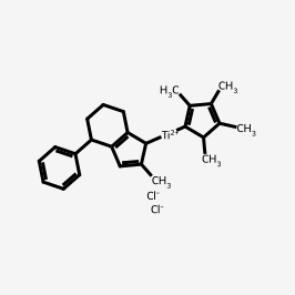 CC1=CC2=C(CCCC2c2ccccc2)[CH]1[Ti+2][C]1=C(C)C(C)=C(C)C1C.[Cl-].[Cl-]